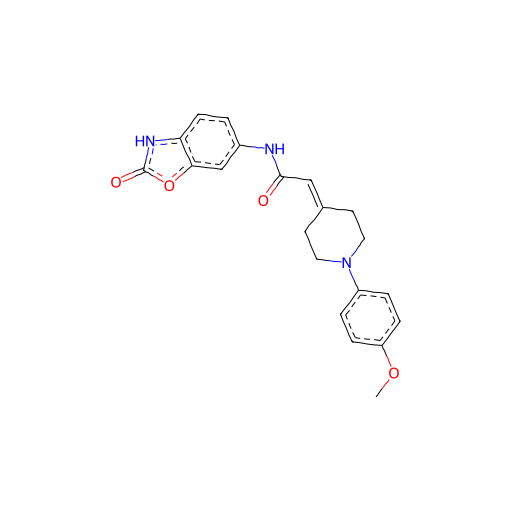 COc1ccc(N2CCC(=CC(=O)Nc3ccc4[nH]c(=O)oc4c3)CC2)cc1